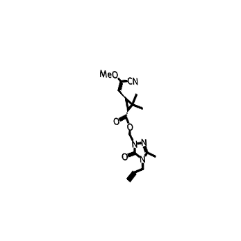 C#CCn1c(C)nn(COC(=O)[C@@H]2[C@@H](/C=C(\C#N)OC)C2(C)C)c1=O